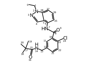 CCn1ncc2c(NC(=O)c3cc(CNC(=O)C(C)(C)C)ccc3Cl)cccc21